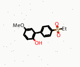 CCS(=O)(=O)c1ccc(-c2cc(OC)ccc2O)cc1